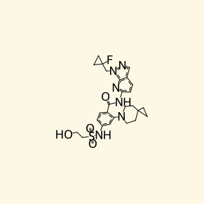 O=C(Nc1ccc2cnn(CC3(F)CC3)c2n1)c1ccc(NS(=O)(=O)CCO)cc1N1CCC2(CC1)CC2